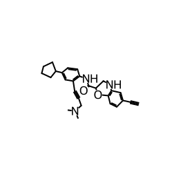 C#Cc1ccc2c(c1)NCC(C(=O)Nc1ccc(C3CCCC3)cc1C#CCN(C)C)O2